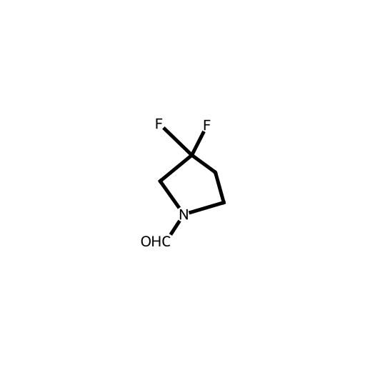 O=CN1CCC(F)(F)C1